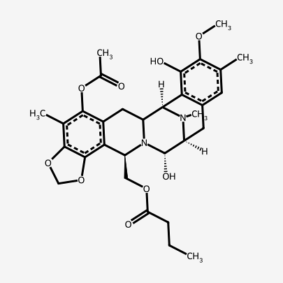 CCCC(=O)OC[C@H]1c2c(c(OC(C)=O)c(C)c3c2OCO3)CC2[C@H]3c4c(cc(C)c(OC)c4O)C[C@@H]([C@H](O)N21)N3C